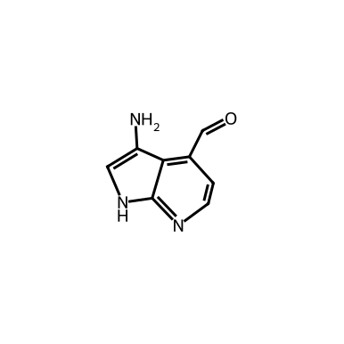 Nc1c[nH]c2nccc(C=O)c12